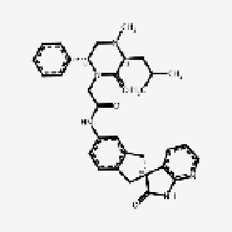 CC(C)C[C@H]1C(=O)N(CC(=O)Nc2ccc3c(c2)C[C@@]2(C3)C(=O)Nc3ncccc32)[C@H](c2ccccc2)CN1C